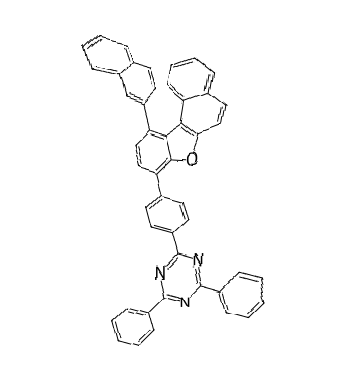 c1ccc(-c2nc(-c3ccccc3)nc(-c3ccc(-c4ccc(-c5ccc6ccccc6c5)c5c4oc4ccc6ccccc6c45)cc3)n2)cc1